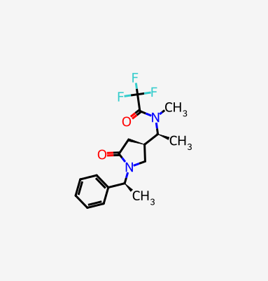 C[C@@H]([C@@H]1CC(=O)N([C@@H](C)c2ccccc2)C1)N(C)C(=O)C(F)(F)F